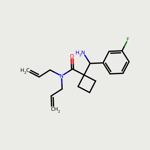 C=CCN(CC=C)C(=O)C1(C(N)c2cccc(F)c2)CCC1